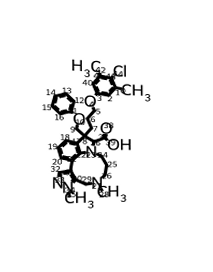 Cc1cc(OCCCC2(COc3ccccc3)c3cccc4c3N(CCCN(C)Cc3c-4cnn3C)C2C(=O)O)cc(C)c1Cl